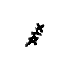 Cn1nc(NC(=O)OC(C)(C)C)cc1Br